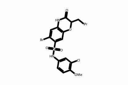 COc1ccc(NS(=O)(=O)c2cc3c(cc2Br)NC(=O)C(CC(C)C)O3)cc1Cl